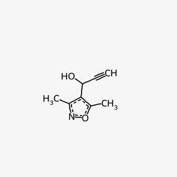 C#CC(O)c1c(C)noc1C